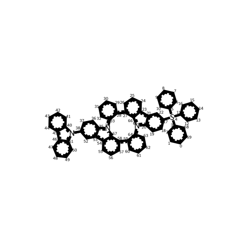 c1ccc(S(c2ccccc2)(c2ccccc2)c2ccc3c(c2)c2cccc4c5ccccc5n5c6ccc(-n7c8ccccc8c8ccccc87)cc6c6cccc(c7ccccc7n3c42)c65)cc1